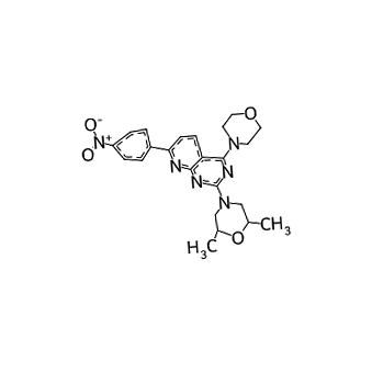 CC1CN(c2nc(N3CCOCC3)c3ccc(-c4ccc([N+](=O)[O-])cc4)nc3n2)CC(C)O1